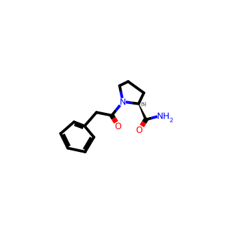 NC(=O)[C@@H]1CCCN1C(=O)Cc1ccccc1